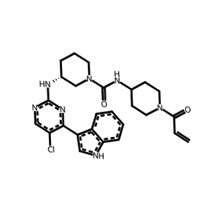 C=CC(=O)N1CCC(NC(=O)N2CCC[C@@H](Nc3ncc(Cl)c(-c4c[nH]c5ccccc45)n3)C2)CC1